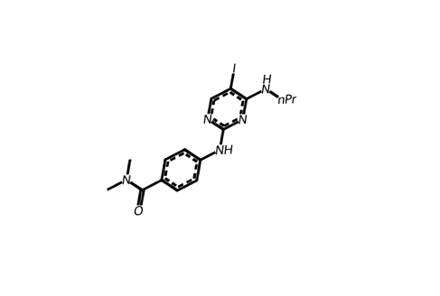 CCCNc1nc(Nc2ccc(C(=O)N(C)C)cc2)ncc1I